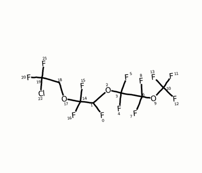 FC(OC(F)(F)C(F)(F)OC(F)(F)F)C(F)(F)OCC(F)(F)Cl